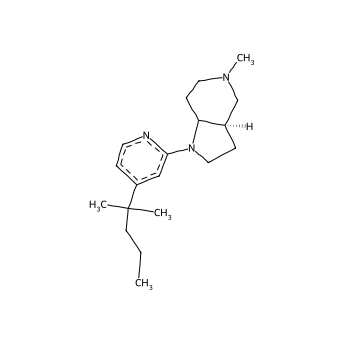 CCCC(C)(C)c1ccnc(N2CC[C@@H]3CN(C)CCC32)c1